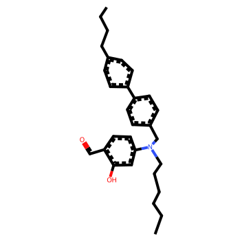 CCCCCCN(Cc1ccc(-c2ccc(CCCC)cc2)cc1)c1ccc(C=O)c(O)c1